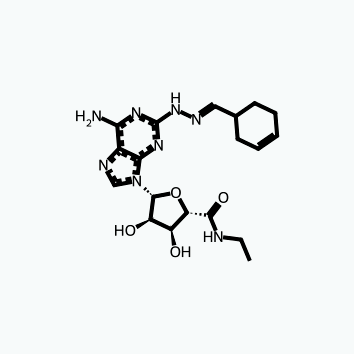 CCNC(=O)[C@H]1O[C@@H](n2cnc3c(N)nc(N/N=C/C4CC=CCC4)nc32)[C@H](O)[C@@H]1O